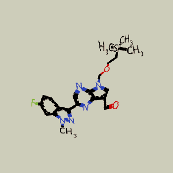 Cn1nc(-c2cnc3c(n2)c(C=O)cn3COCC[Si](C)(C)C)c2ccc(F)cc21